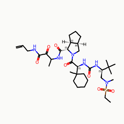 C=CCNC(=O)C(=O)C(C)NC(=O)[C@@H]1[C@H]2CCC[C@H]2CN1C(=O)[C@@H](NC(=O)N[C@H](CN(C)S(=O)(=O)CC)C(C)(C)C)C1(C)CCCCC1